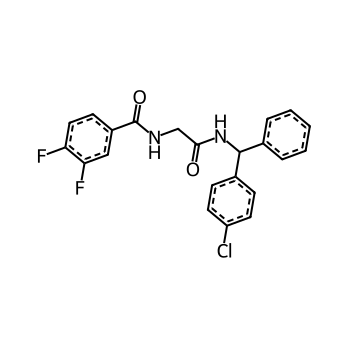 O=C(CNC(=O)c1ccc(F)c(F)c1)NC(c1ccccc1)c1ccc(Cl)cc1